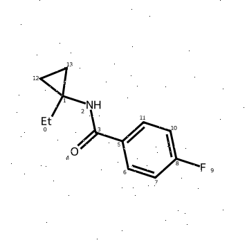 CCC1(NC(=O)c2ccc(F)cc2)CC1